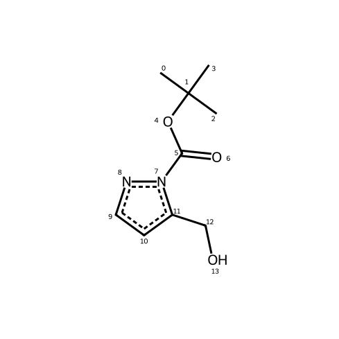 CC(C)(C)OC(=O)n1nccc1CO